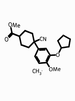 COC(=O)C1CCC(C#N)(c2ccc(OC)c(OC3CCCC3)c2)CC1.[CH3]